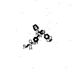 CN(C)CCNC(=O)Nc1ccc(-c2nc(N3CC4CCC(C3)O4)c3cnn(C4CCC5(CC4)OCCO5)c3n2)cc1